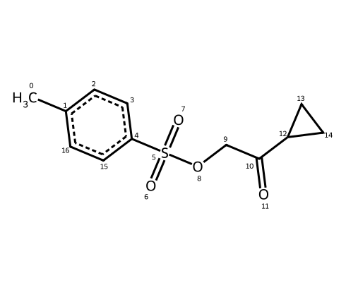 Cc1ccc(S(=O)(=O)OCC(=O)C2CC2)cc1